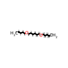 C=CCCCOCCCCCCOCCCC=C